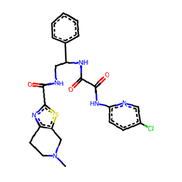 CN1CCc2nc(C(=O)NCC(NC(=O)C(=O)Nc3ccc(Cl)cn3)c3ccccc3)sc2C1